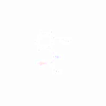 CC(C)COC(=O)Nc1ccccc1S(=O)(=O)O